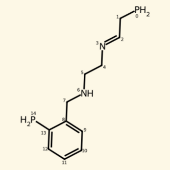 PC/C=N/CCNCc1ccccc1P